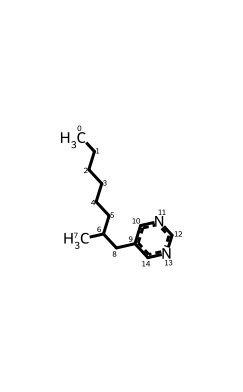 CCCCCCC(C)Cc1cncnc1